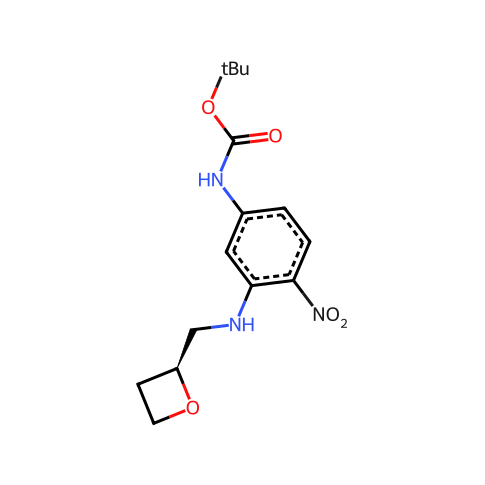 CC(C)(C)OC(=O)Nc1ccc([N+](=O)[O-])c(NC[C@@H]2CCO2)c1